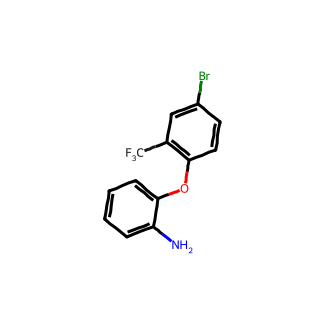 Nc1ccccc1Oc1ccc(Br)cc1C(F)(F)F